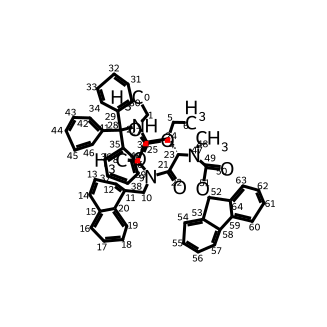 CCOC(OCC)[C@H](C)N(Cc1cccc2ccccc12)C(=O)[C@H](CC(=O)NC(c1ccccc1)(c1ccccc1)c1ccccc1)N(C)C(=O)OC1c2ccccc2-c2ccccc21